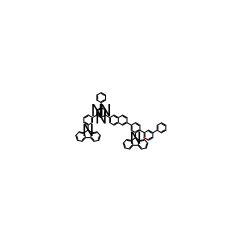 c1ccc(-c2cccc(-c3ccc(-c4ccc5cc(-c6nc(-c7ccccc7)nc(-c7cccc(-n8c9ccccc9c9ccccc98)c7)n6)ccc5c4)cc3-n3c4ccccc4c4ccccc43)c2)cc1